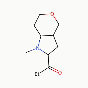 CCC(=O)C1CC2COCCC2N1C